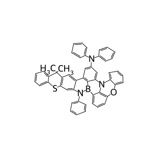 CC1(C)c2ccccc2Sc2cc3c(cc21)-c1cc(N(c2ccccc2)c2ccccc2)cc2c1B(c1cccc4c1N2c1ccccc1O4)N3c1ccccc1